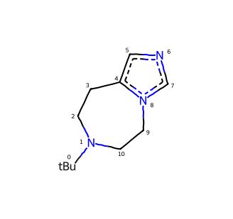 CC(C)(C)N1CCc2cncn2CC1